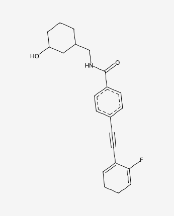 O=C(NCC1CCCC(O)C1)c1ccc(C#CC2=CCCC=C2F)cc1